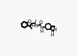 Cc1c([C@@H](C)NC(=O)NC2CCc3cn[nH]c3C2)oc2ccccc12